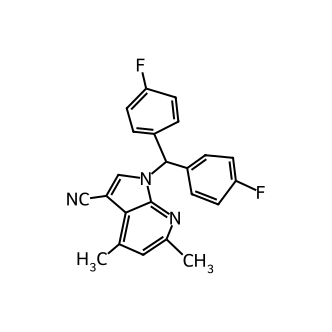 Cc1cc(C)c2c(C#N)cn(C(c3ccc(F)cc3)c3ccc(F)cc3)c2n1